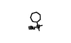 CC(C)(C)[Si](C)(C)C1CCCCCC1